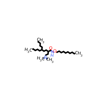 CCCCCCCCCCONC(=O)C(CCC(CCCCC)CCCCC)CCN(C)C